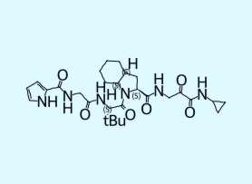 CC(C)(C)[C@H](NC(=O)CNC(=O)c1ccc[nH]1)C(=O)N1[C@H](C(=O)NCC(=O)C(=O)NC2CC2)C[C@@H]2CCCC[C@@H]21